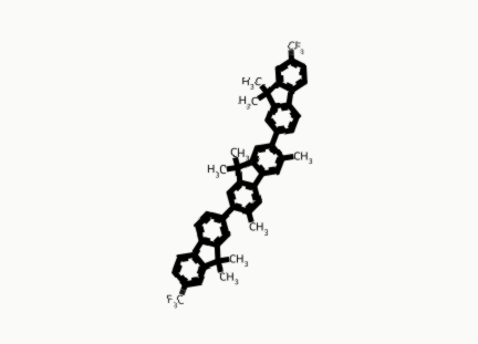 Cc1cc2c(cc1-c1ccc3c(c1)C(C)(C)c1cc(C(F)(F)F)ccc1-3)C(C)(C)c1cc(-c3ccc4c(c3)C(C)(C)c3cc(C(F)(F)F)ccc3-4)c(C)cc1-2